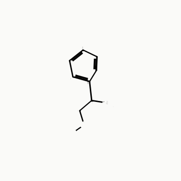 CCOCC(N)c1ccccc1